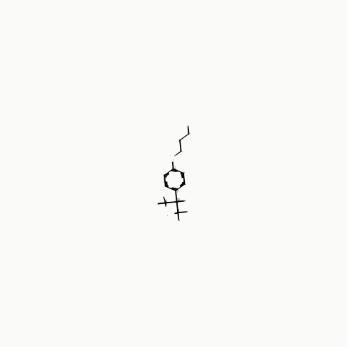 CCCC[N]c1ccc(C(O)(C(F)(F)F)C(F)(F)F)cc1